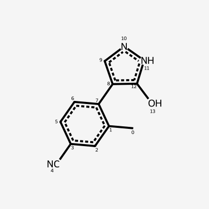 Cc1cc(C#N)ccc1-c1cn[nH]c1O